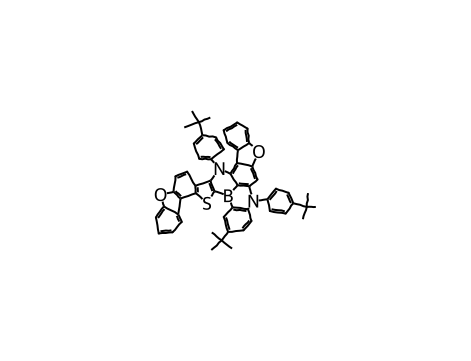 CC(C)(C)c1ccc(N2c3ccc(C(C)(C)C)cc3B3c4sc5c(ccc6oc7ccccc7c65)c4N(c4ccc(C(C)(C)C)cc4)c4c3c2cc2oc3ccccc3c42)cc1